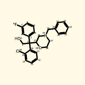 OCC(c1cccc(F)c1)(c1ccccc1Cl)C1CN(Cc2ccccc2)CCO1